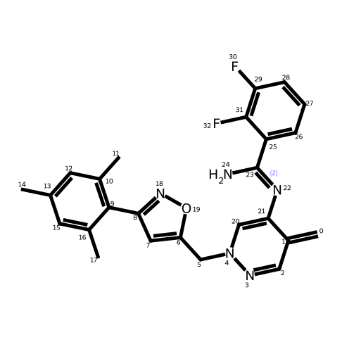 C=C1C=NN(Cc2cc(-c3c(C)cc(C)cc3C)no2)C=C1/N=C(\N)c1cccc(F)c1F